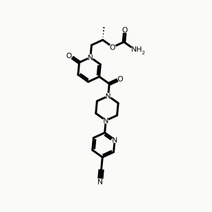 C[C@@H](Cn1cc(C(=O)N2CCN(c3ccc(C#N)cn3)CC2)ccc1=O)OC(N)=O